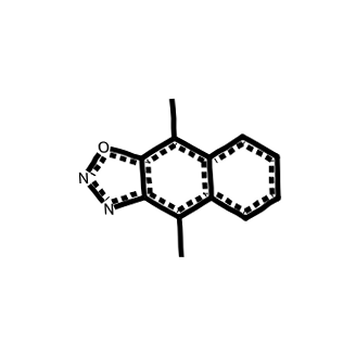 Cc1c2ccccc2c(C)c2onnc12